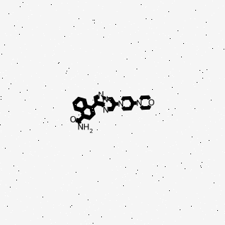 NC(=O)c1ccc(-c2cnn3cc(N4CCC(N5CCOCC5)CC4)cnc23)c2ccccc12